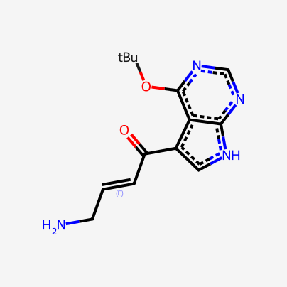 CC(C)(C)Oc1ncnc2[nH]cc(C(=O)/C=C/CN)c12